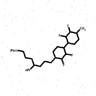 CCCC(C)CCCC(CCC)CCCC1CCC(C2CCC(C)C(F)C2F)C(F)C1F